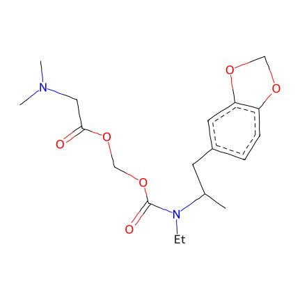 CCN(C(=O)OCOC(=O)CN(C)C)C(C)Cc1ccc2c(c1)OCO2